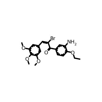 CCOc1ccc(C(=O)/C(Br)=C\c2cc(OC)c(OC)c(OC)c2)cc1N